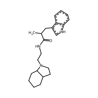 CC(Cc1c[nH]c2ccccc12)C(=O)NCCN1CCC2CCCCC21